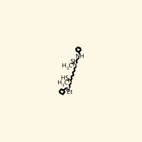 CCN(CCCN(CCCCCCCN(CCCNCc1ccccc1)C(C)S)C(C)S)Cc1ccccc1